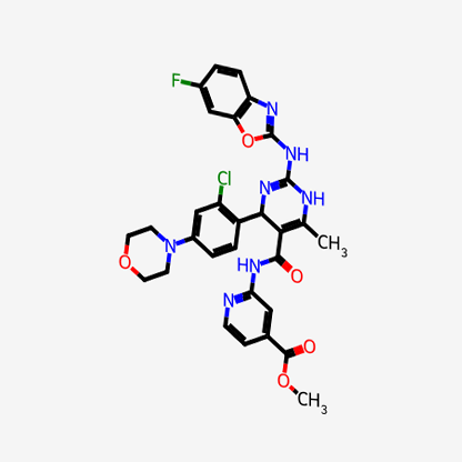 COC(=O)c1ccnc(NC(=O)C2=C(C)NC(Nc3nc4ccc(F)cc4o3)=NC2c2ccc(N3CCOCC3)cc2Cl)c1